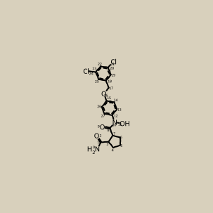 NC(=O)C1CCCC1C(=O)N(O)c1ccc(OCc2cc(Cl)cc(Cl)c2)cc1